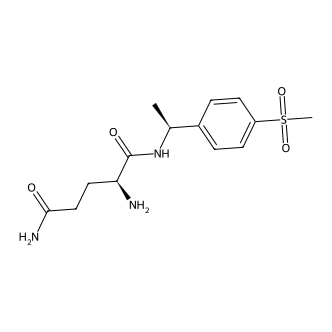 C[C@H](NC(=O)[C@@H](N)CCC(N)=O)c1ccc(S(C)(=O)=O)cc1